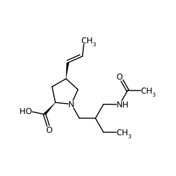 CC=C[C@@H]1C[C@H](C(=O)O)N(CC(CC)CNC(C)=O)C1